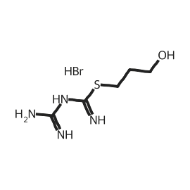 Br.N=C(N)NC(=N)SCCCO